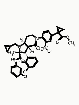 COC(=O)C1(c2ccc(N3CC[C@H]4[C@@H](C3=O)[C@H](c3cccc(Cl)c3F)[C@](C)(C(=O)Nc3cccc(Cl)c3)N4CC3CC3)c([N+](=O)[O-])c2)CC1